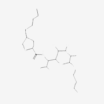 CCCCCC1CNC(C(=O)NC(C(C)C)C2OC(OCCCC)C(O)C(O)C2O)C1